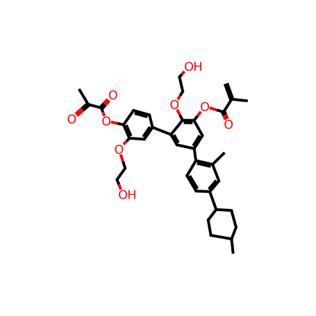 C=C(C)C(=O)Oc1cc(-c2ccc(C3CCC(C)CC3)cc2C)cc(-c2ccc(OC(=O)C(C)=O)c(OCCO)c2)c1OCCO